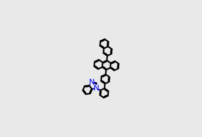 c1ccc(-n2cnc3ccccc32)c(-c2ccc(-c3c4ccccc4c(-c4ccc5ccccc5c4)c4ccccc34)cc2)c1